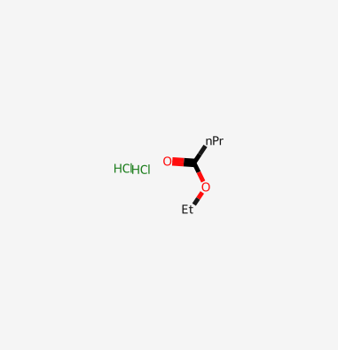 CCCC(=O)OCC.Cl.Cl